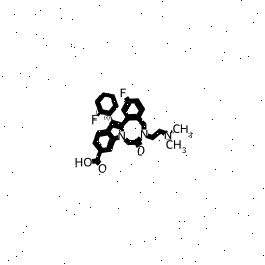 CN(C)CCN1Cc2ccc(F)cc2-c2c([C@H]3CCCC[C@@H]3F)c3ccc(C(=O)O)cc3n2CC1=O